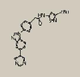 CC(C)(C)c1cc(NC(=O)Cc2ccc(-n3cnc4cc(-c5cncnc5)ccc43)cc2)sn1